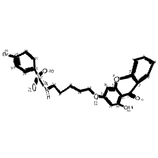 O=c1c2ccccc2oc2cc(OCCCCCNS(=O)(=O)c3ccc(Br)cc3)cc(O)c12